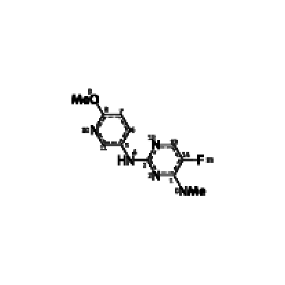 CNc1nc(Nc2ccc(OC)nc2)ncc1F